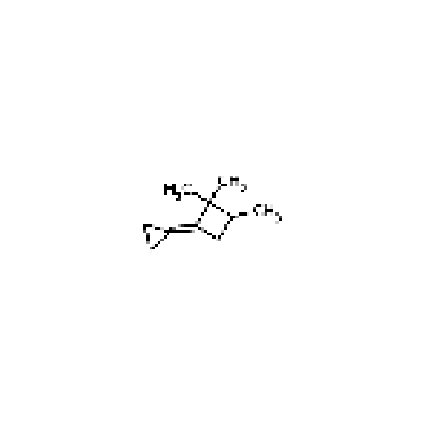 CC1CC(=C2CC2)C1(C)C